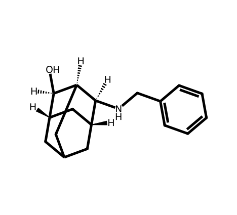 O[C@@H]1[C@H]2CC3C[C@H](C2)[C@H](NCc2ccccc2)[C@H]1C3